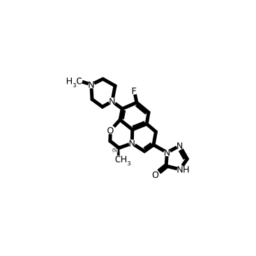 C[C@H]1COc2c(N3CCN(C)CC3)c(F)cc3c2N1C=C(n1nc[nH]c1=O)C3